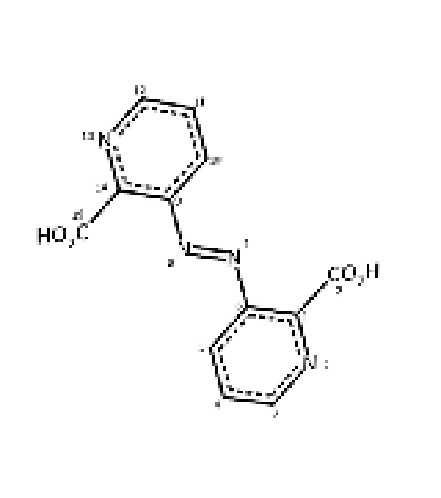 O=C(O)c1ncccc1N=Nc1cccnc1C(=O)O